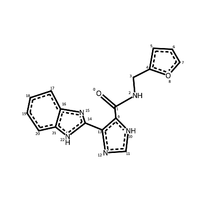 O=C(NCc1ccco1)c1[nH]cnc1-c1nc2ccccc2[nH]1